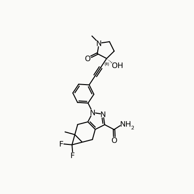 CN1CC[C@@](O)(C#Cc2cccc(-n3nc(C(N)=O)c4c3CC3(C)C(C4)C3(F)F)c2)C1=O